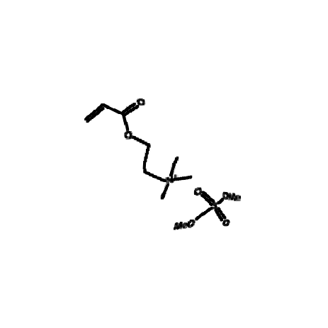 C=CC(=O)OCC[N+](C)(C)C.COS(=O)(=O)OC